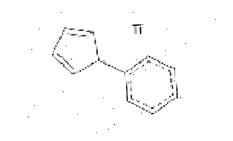 [Ti].[c]1ccc(C2C=CC=C2)cc1